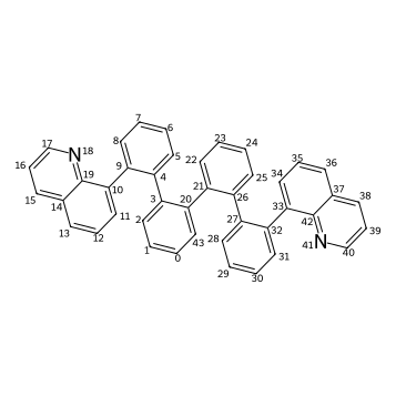 c1ccc(-c2ccccc2-c2cccc3cccnc23)c(-c2ccccc2-c2ccccc2-c2cccc3cccnc23)c1